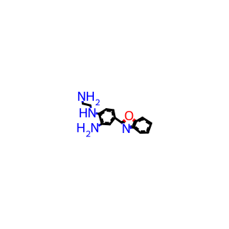 NCCNc1ccc(-c2nc3ccccc3o2)cc1N